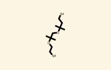 CC(C)(CCS)OCC(C)(C)OCCS